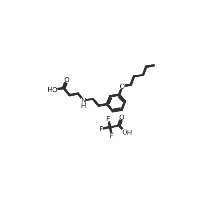 CCCCCOc1cccc(CCNCCC(=O)O)c1.O=C(O)C(F)(F)F